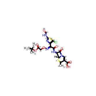 CC1S[C@@H]2C(NC(=O)C(=NOCC(=O)OC(C)(C)C)c3nc(NC=O)sc3Cl)C(=O)N2C=C1C(=O)O